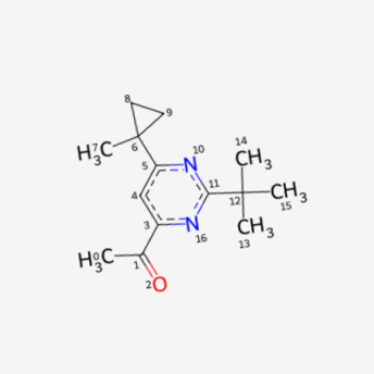 CC(=O)c1cc(C2(C)CC2)nc(C(C)(C)C)n1